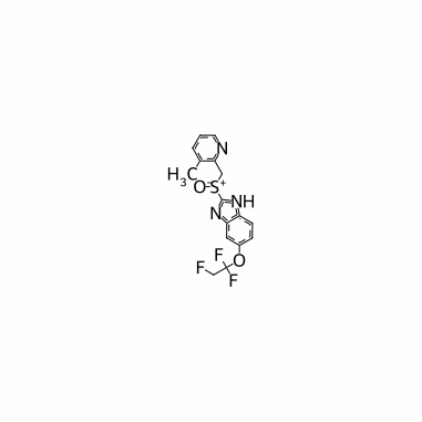 Cc1cccnc1C[S+]([O-])c1nc2cc(OC(F)(F)CF)ccc2[nH]1